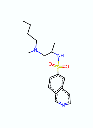 CCCCN(C)CC(C)NS(=O)(=O)c1ccc2cnccc2c1